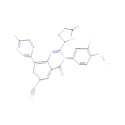 COc1ccc(-n2c(C3CCC(=O)N3)nc3c(-c4ccc(C)nc4)cc(C#N)cc3c2=O)cc1F